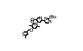 Cc1cc(COc2cc(C)n(-c3cc(-c4ccnc(C(C)(C)C)n4)ncc3Cl)c(=O)c2C)cs1